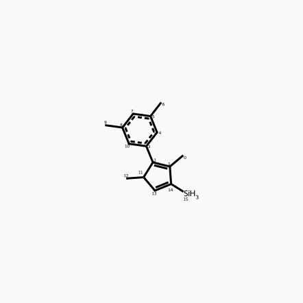 CC1=C(c2cc(C)cc(C)c2)C(C)C=C1[SiH3]